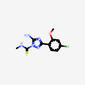 CNC(=S)n1nc(-c2ccc(Cl)cc2OC)nc1N